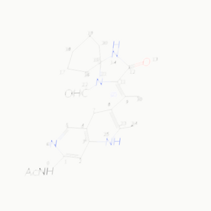 CC(=O)Nc1cc2c(cn1)CC(/C(C)=C1/C(=O)NC3(CCCCC3)N1C=O)=C(C)N2